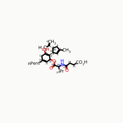 C=C(C)[C@@H]1CC(C)=C[C@H]1C1=C(O)CC(CCCCC)=CC1OC(=O)C(NC(=O)CCC(=O)O)C(C)C